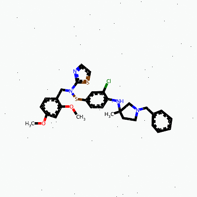 COc1ccc(CN(Sc2ccc(NC3(C)CCN(Cc4ccccc4)C3)c(Cl)c2)c2nccs2)c(OC)c1